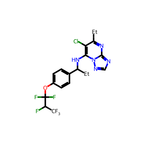 CCc1nc2ncnn2c(NC(CC)c2ccc(OC(F)(F)C(F)C(F)(F)F)cc2)c1Cl